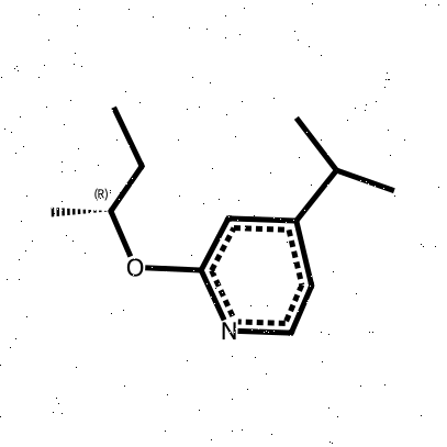 CC[C@@H](C)Oc1cc(C(C)C)ccn1